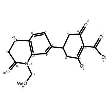 CCC(=O)C1=C(O)CC(c2ccc3c(c2)N(COC)C(=O)CO3)CC1=O